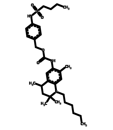 CCCCCCN1c2cc(C)c(NC(=O)OCc3ccc(NS(=O)(=O)CCCC)cc3)cc2C(C)CC1(C)C